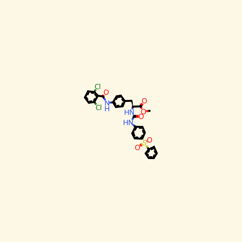 COC(=O)[C@H](Cc1ccc(NC(=O)c2c(Cl)cccc2Cl)cc1)NC(=O)Nc1ccc(S(=O)(=O)c2ccccc2)cc1